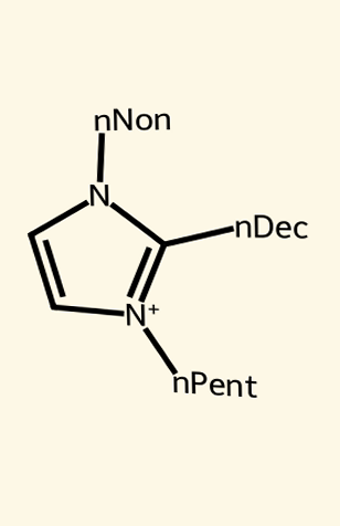 CCCCCCCCCCc1n(CCCCCCCCC)cc[n+]1CCCCC